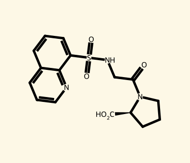 O=C(O)[C@@H]1CCCN1C(=O)CNS(=O)(=O)c1cccc2cccnc12